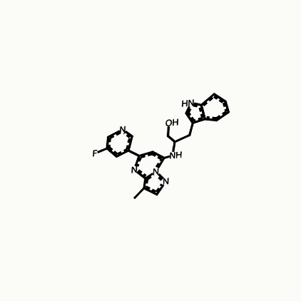 Cc1cnn2c(NC(CO)Cc3c[nH]c4ccccc34)cc(-c3cncc(F)c3)nc12